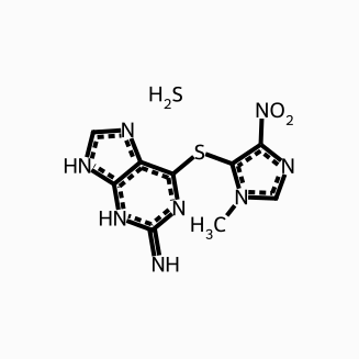 Cn1cnc([N+](=O)[O-])c1Sc1nc(=N)[nH]c2[nH]cnc12.S